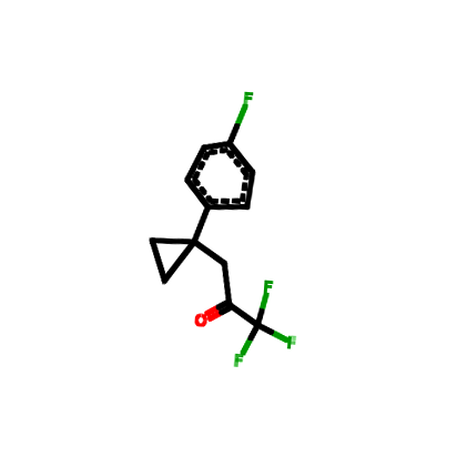 O=C(CC1(c2ccc(F)cc2)CC1)C(F)(F)F